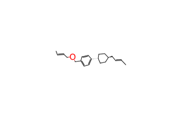 CC=CCOCc1ccc([C@H]2CC[C@H](CC=CC)CC2)cc1